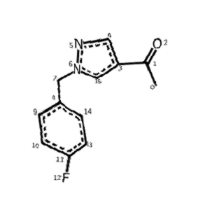 CC(=O)c1cnn(Cc2ccc(F)cc2)c1